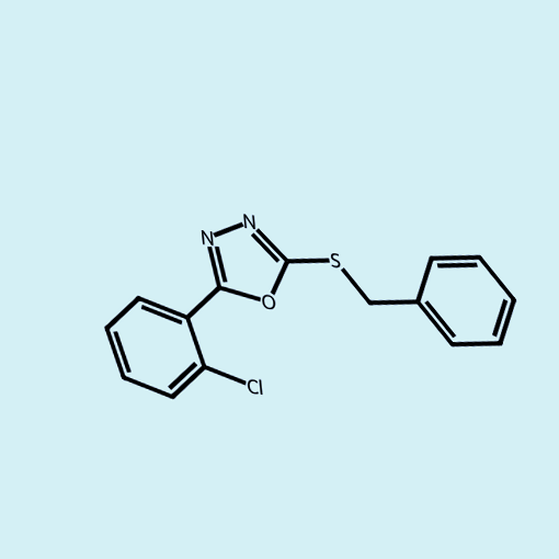 Clc1ccccc1-c1nnc(SCc2ccccc2)o1